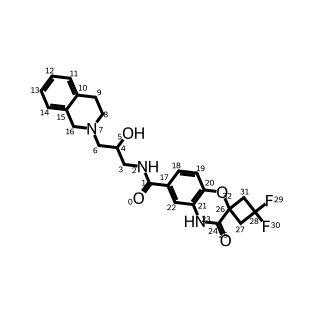 O=C(NCC(O)CN1CCc2ccccc2C1)c1ccc2c(c1)NC(=O)C1(CC(F)(F)C1)O2